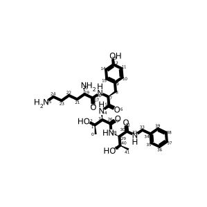 C[C@@H](O)[C@H](NC(=O)[C@H](Cc1ccc(O)cc1)NC(=O)[C@@H](N)CCCCN)C(=O)N[C@H](C(=O)NCc1ccccc1)[C@@H](C)O